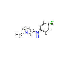 CN(C)CCNc1ccc(Cl)cc1